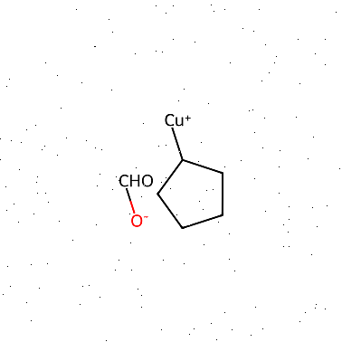 O=C[O-].[Cu+][CH]1CCCC1